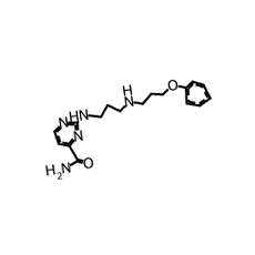 NC(=O)c1ccnc(NCCCNCCCOc2ccccc2)n1